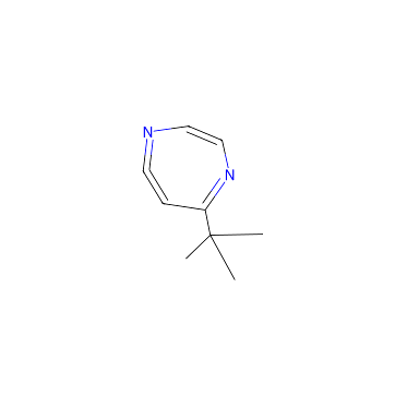 CC(C)(C)C1=NC=CN=C=C1